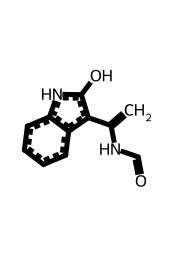 C=C(NC=O)c1c(O)[nH]c2ccccc12